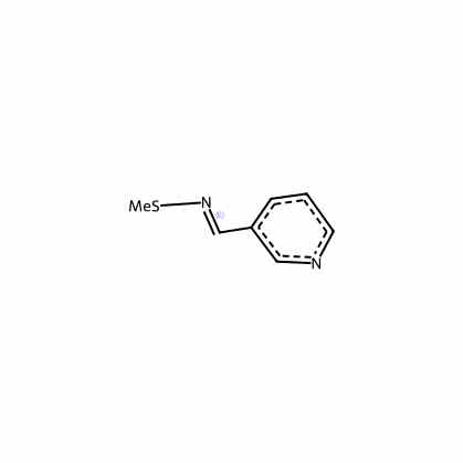 CS/N=C/c1cccnc1